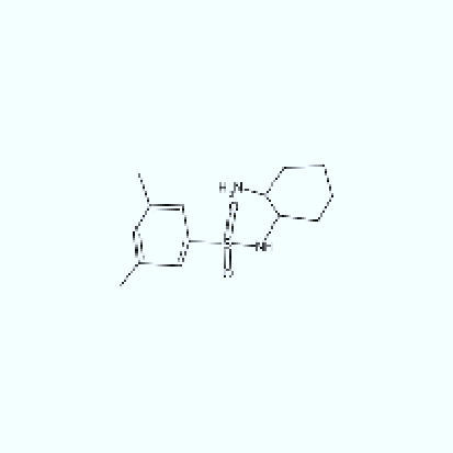 Cc1cc(C)cc(S(=O)(=O)NC2CCCCC2N)c1